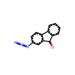 [N-]=[N+]=Nc1ccc2c(c1)C(=O)c1ccccc1-2